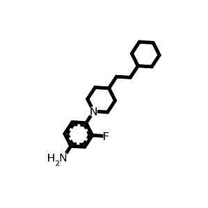 Nc1ccc(N2CCC(CCC3CCCCC3)CC2)c(F)c1